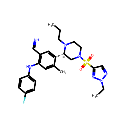 CCCN1CCN(S(=O)(=O)c2cnn(CC)n2)C[C@@H]1c1cc(C=N)c(Nc2ccc(F)cc2)cc1C